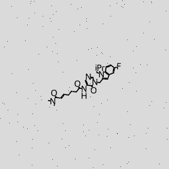 CC(C)Cn1c(Cn2cncc(NC(=O)CCC/C=C/C(=O)N(C)C)c2=O)cc2cc(F)ccc21